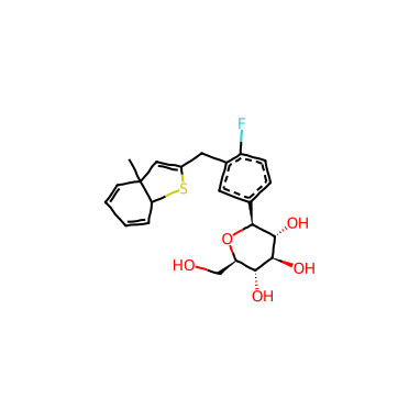 CC12C=CC=CC1SC(Cc1cc([C@@H]3O[C@H](CO)[C@@H](O)[C@H](O)[C@H]3O)ccc1F)=C2